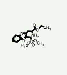 CCOC(=O)C(N)Cc1nc2ccccc2nc1CP(=O)(OC)OC